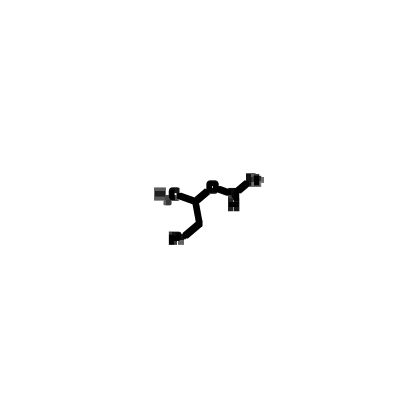 C[CH]NOC(C)CC(C)C